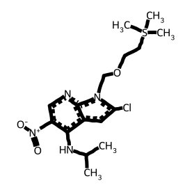 CC(C)Nc1c([N+](=O)[O-])cnc2c1cc(Cl)n2COCCS(C)(C)C